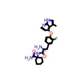 Cc1c[nH]c2nccc(Oc3ccc(C[C@H](N)C(=O)NC4(C(N)=O)CCCCC4)cc3F)c12